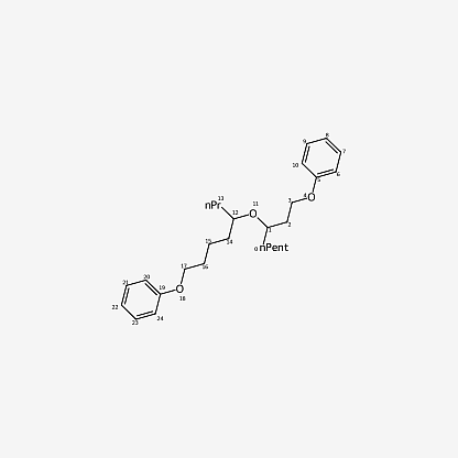 CCCCCC(CCOc1ccccc1)OC(CCC)CCCCOc1ccccc1